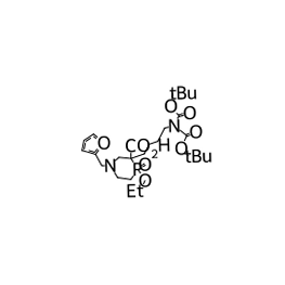 CCOP1(=O)CCN(Cc2ccco2)CC1(CCCCN(C(=O)OC(C)(C)C)C(=O)OC(C)(C)C)C(=O)O